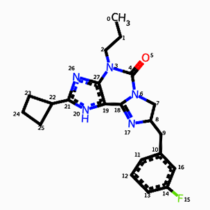 CCCN1C(=O)N2CC(Cc3cccc(F)c3)N=C2c2[nH]c(C3CCC3)nc21